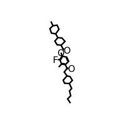 CCCCCC1CCC(CC(=O)c2ccc(OC(=O)C3CCC(C4CCC(C)CC4)CC3)c(F)c2C)CC1